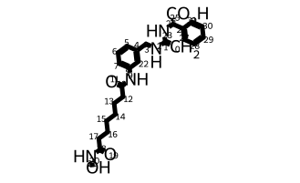 C=C(NCc1cccc(NC(=O)CCCCCCC(=O)NO)c1)N[C@H](C(=O)O)c1ccccc1